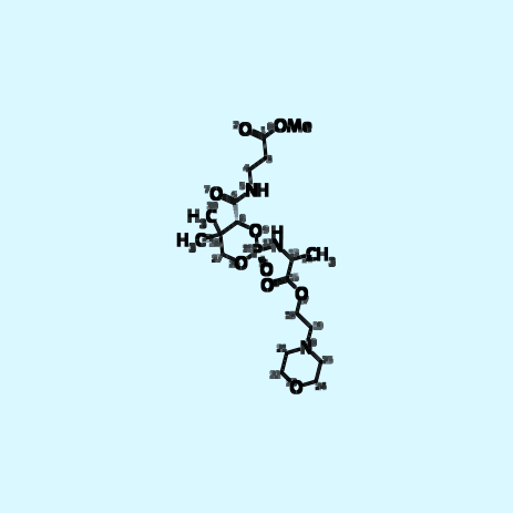 COC(=O)CCNC(=O)[C@@H]1OP(=O)(NC(C)C(=O)OCCN2CCOCC2)OCC1(C)C